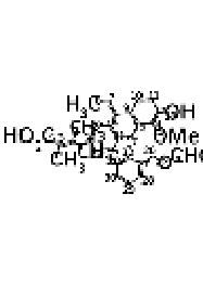 CC(C)=C(C)C(=O)O.CC=Cc1ccc(O)c(OC)c1Cc1ccccc1.O=COCc1ccccc1